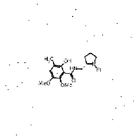 CCN1CCC[C@H]1CNC(=O)c1c(O)c(C)cc(OC)c1OC